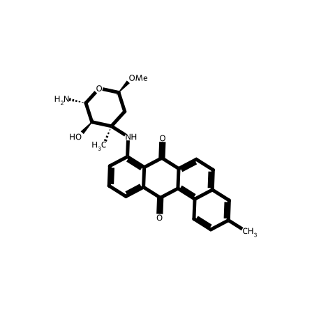 CO[C@H]1C[C@@](C)(Nc2cccc3c2C(=O)c2ccc4cc(C)ccc4c2C3=O)[C@@H](O)[C@H](N)O1